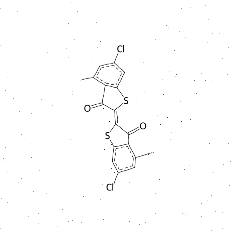 Cc1cc(Cl)cc2c1C(=O)C(=C1Sc3cc(Cl)cc(C)c3C1=O)S2